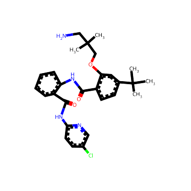 CC(C)(CN)COc1cc(C(C)(C)C)ccc1C(=O)Nc1ccccc1C(=O)Nc1ccc(Cl)cn1